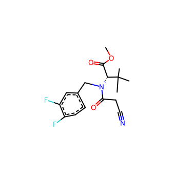 COC(=O)[C@@H](N(Cc1ccc(F)c(F)c1)C(=O)CC#N)C(C)(C)C